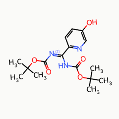 CC(C)(C)OC(=O)/N=C(\NC(=O)OC(C)(C)C)c1ccc(O)cn1